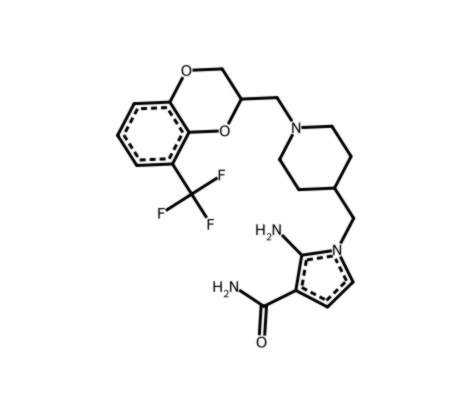 NC(=O)c1ccn(CC2CCN(CC3COc4cccc(C(F)(F)F)c4O3)CC2)c1N